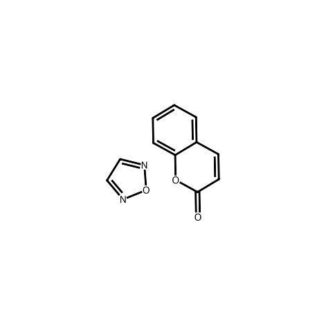 O=c1ccc2ccccc2o1.c1cnon1